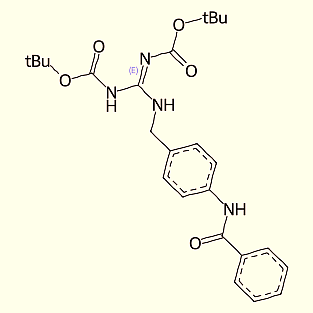 CC(C)(C)OC(=O)/N=C(\NCc1ccc(NC(=O)c2ccccc2)cc1)NC(=O)OC(C)(C)C